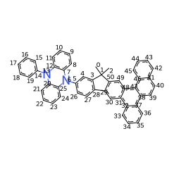 CC1(C)c2cc(N3c4ccccc4N(c4ccccc4)c4ccccc43)ccc2-c2cc3c4ccccc4c4ccc5ccccc5c4c3cc21